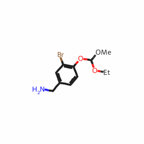 CCOC(OC)Oc1ccc(CN)cc1Br